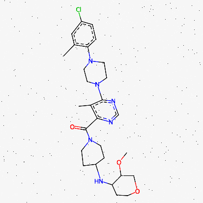 COC1COCCC1NC1CCN(C(=O)c2ncnc(N3CCN(c4ccc(Cl)cc4C)CC3)c2C)CC1